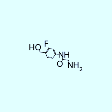 NCC(=O)Nc1ccc(CO)c(F)c1